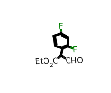 CCOC(=O)C(C=O)c1ccc(F)cc1F